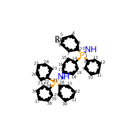 N=P(c1ccccc1)(c1ccccc1)c1ccccc1.N=P(c1ccccc1)(c1ccccc1)c1ccccc1.[Ru]